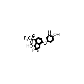 O=S(=O)(c1ccc(O[C@H]2CCC(O)NC2)c2c1[C@H](O)C(F)(F)C2)C(F)(F)F